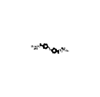 CC(=NO[Si](C)(C)C(C)(C)C)c1ccc(SSc2ccc(C(C)=NO[Si](C)(C)C(C)(C)C)cc2)cc1